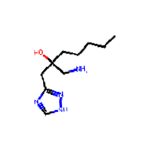 CCCCCC(O)(CN)Cc1nc[nH]n1